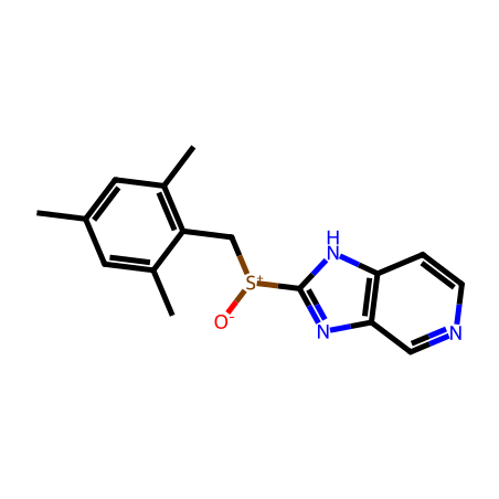 Cc1cc(C)c(C[S+]([O-])c2nc3cnccc3[nH]2)c(C)c1